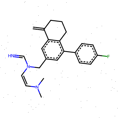 C=C1CCCc2c1cc(CN(C=N)/C=C\N(C)C)cc2-c1ccc(F)cc1